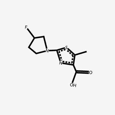 Cc1sc(N2CCC(F)C2)nc1C(=O)O